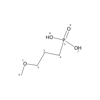 COC[CH]CP(=O)(O)O